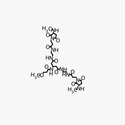 CNC1CC(=O)N(CCC(=O)NCCNC(=O)CC(CC(=O)NCCNC(=O)CCN2C(=O)CC(NC)C2=O)NC(=O)CCOC)C1=O